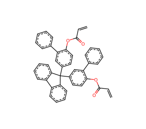 C=CC(=O)Oc1ccc(C2(c3ccc(OC(=O)C=C)c(-c4ccccc4)c3)c3ccccc3-c3ccccc32)cc1-c1ccccc1